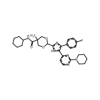 CC1(C(=O)NC2CCCCC2)COC(c2nc(-c3ccc(F)cc3)c(-c3ccnc(N4CCCCC4)n3)[nH]2)OC1